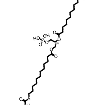 CCCCCCCCCCC(=O)O[C@@H](COC(=O)CCCCCCCCCCCSC(C)=O)COP(=O)(O)O